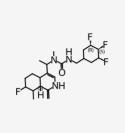 C=C1NC=C(C(C)N(C)C(=O)NCC2CC(F)[C@H](F)[C@H](F)C2)C2CCC(F)C(C)[C@@H]12